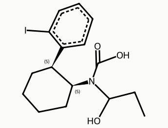 CCC(O)N(C(=O)O)[C@H]1CCCC[C@H]1c1ccccc1I